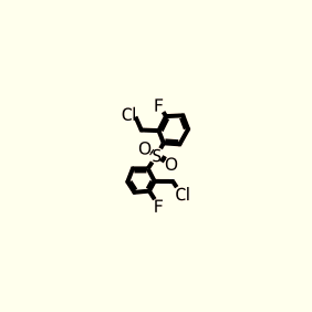 O=S(=O)(c1cccc(F)c1CCl)c1cccc(F)c1CCl